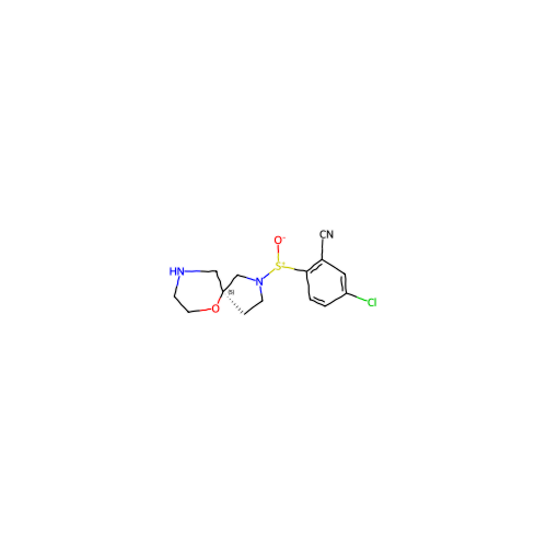 N#Cc1cc(Cl)ccc1[S+]([O-])N1CC[C@]2(CNCCO2)C1